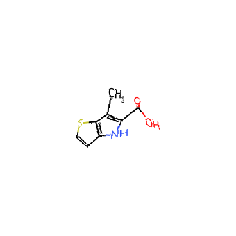 Cc1c(C(=O)O)[nH]c2ccsc12